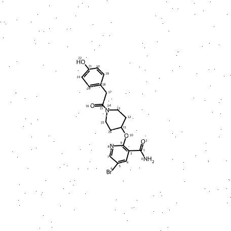 NC(=O)c1cc(Br)cnc1OC1CCN(C(=O)Cc2ccc(O)cc2)CC1